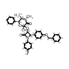 C[C@@H]1[C@H](c2ccccc2)O[C@@](C)(O[C@@H]2C(=O)N(c3ccc(F)cc3)[C@@H]2c2ccc(OCc3ccccc3)cc2)C(=O)N1C